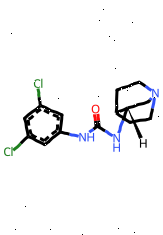 O=C(Nc1cc(Cl)cc(Cl)c1)N[C@H]1CN2CCC1CC2